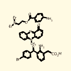 CCN(CC)CCOC(=O)c1ccc(N)cc1.Cn1c2cccc(=O)c-2nc2ccccc21.Nc1c(CC(=O)O)cccc1C(=O)c1ccc(Br)cc1